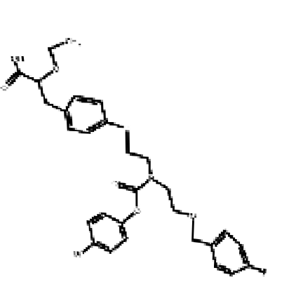 CCOC(Cc1ccc(OCCN(CCOCc2ccc(F)cc2)C(=O)Oc2ccc(Br)cc2)cc1)C(=O)O